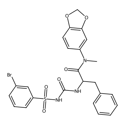 CN(C(=O)C(Cc1ccccc1)NC(=O)NS(=O)(=O)c1cccc(Br)c1)c1ccc2c(c1)OCO2